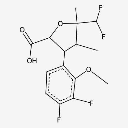 COc1c(C2C(C(=O)O)OC(C)(C(F)F)C2C)ccc(F)c1F